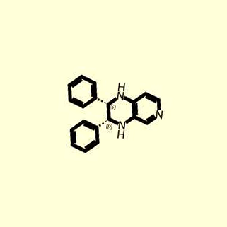 c1ccc([C@H]2Nc3cnccc3N[C@H]2c2ccccc2)cc1